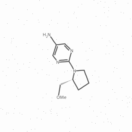 COC[C@H]1CCCN1c1ncc(N)cn1